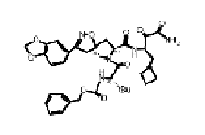 CC(C)(C)[C@H](NC(=O)OCc1ccccc1)C(=O)N1C[C@@]2(CC(c3ccc4c(c3)OCO4)=NO2)C[C@H]1C(=O)NC(CC1CCC1)C(=O)C(N)=O